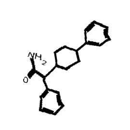 NC(=O)C(c1ccccc1)C1CCC(c2ccccc2)CC1